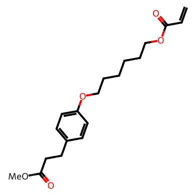 C=CC(=O)OCCCCCCOc1ccc(CCC(=O)OC)cc1